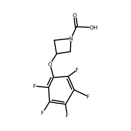 O=C(O)N1CC(Oc2c(F)c(F)c(F)c(F)c2F)C1